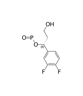 O=PO[C@H](CCO)c1ccc(F)c(F)c1